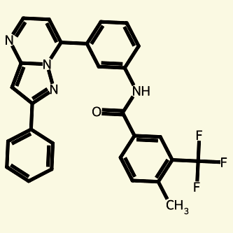 Cc1ccc(C(=O)Nc2cccc(-c3ccnc4cc(-c5ccccc5)nn34)c2)cc1C(F)(F)F